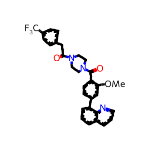 COc1cc(-c2cccc3cccnc23)ccc1C(=O)N1CCN(C(=O)Cc2ccc(C(F)(F)F)cc2)CC1